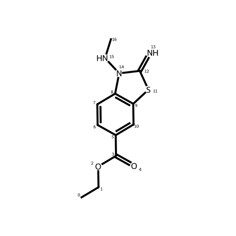 CCOC(=O)c1ccc2c(c1)sc(=N)n2NC